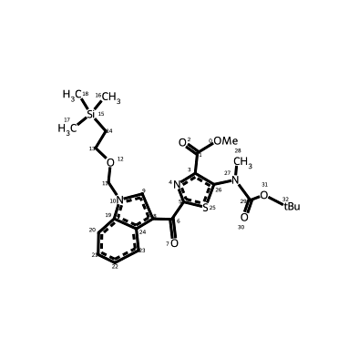 COC(=O)c1nc(C(=O)c2cn(COCC[Si](C)(C)C)c3ccccc23)sc1N(C)C(=O)OC(C)(C)C